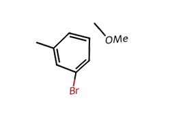 COC.Cc1cccc(Br)c1